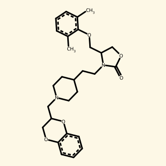 Cc1cccc(C)c1OCC1COC(=O)N1CCC1CCN(CC2COc3ccccc3O2)CC1